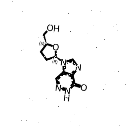 O=c1[nH]ncc2c1ncn2[C@H]1CC[C@@H](CO)O1